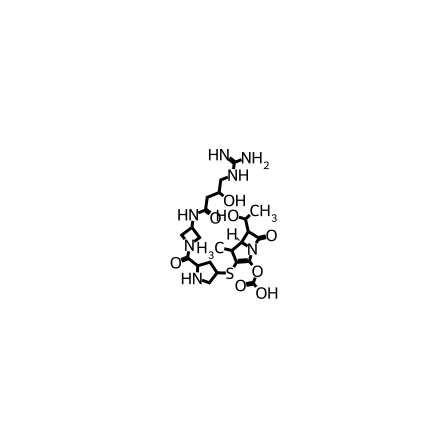 CC(O)C1C(=O)N2C(OC(=O)O)=C(SC3CNC(C(=O)N4CC(NC(=O)CC(O)CNC(=N)N)C4)C3)C(C)[C@@H]12